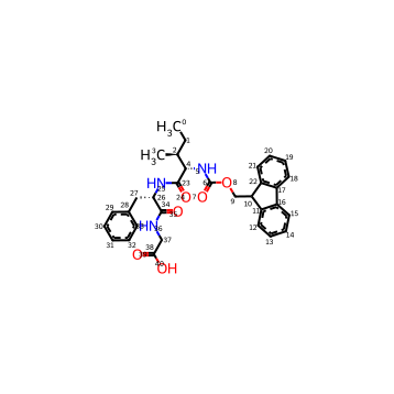 CC[C@H](C)[C@H](NC(=O)OCC1c2ccccc2-c2ccccc21)C(=O)N[C@@H](Cc1ccccc1)C(=O)NCC(=O)O